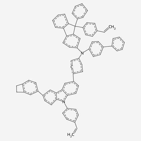 C=Cc1ccc(-n2c3ccc(-c4ccc(N(c5ccc(-c6ccccc6)cc5)c5ccc6c(c5)C(c5ccccc5)(c5ccc(C=C)cc5)c5ccccc5-6)cc4)cc3c3cc(-c4ccc5c(c4)CC5)ccc32)cc1